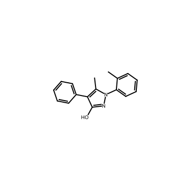 Cc1ccccc1-n1nc(O)c(-c2ccccc2)c1C